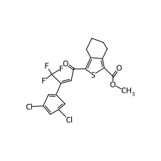 COC(=O)c1sc(C(=O)C=C(c2cc(Cl)cc(Cl)c2)C(F)(F)F)c2c1CCCC2